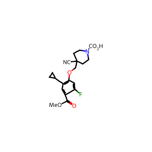 COC(=O)c1cc(C2CC2)c(OCC2(C#N)CCN(C(=O)O)CC2)cc1F